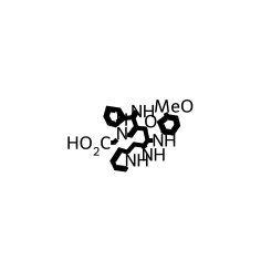 COc1cccc(NC(C(=N)CC2C=CC=CN2)C(=O)/C(=C/NCC(=O)O)C(=N)c2ccccc2)c1